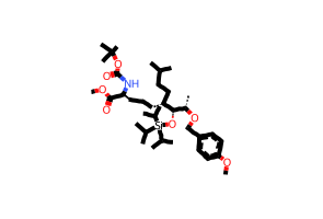 COC(=O)[C@H](CCC[C@H](CCC(C)C)[C@@H](O[Si](C(C)C)(C(C)C)C(C)C)[C@H](C)OCc1ccc(OC)cc1)NC(=O)OC(C)(C)C